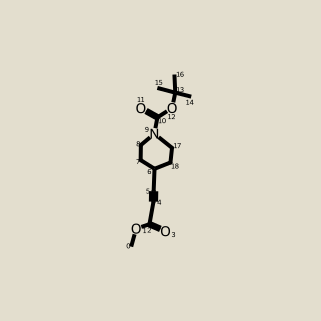 COC(=O)C#CC1CCN(C(=O)OC(C)(C)C)CC1